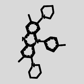 Cc1ccc(-[n+]2c3cc(N4CCCCC4)c(C)cc3nc3cc(C)c(N4CCCCC4)cc32)cc1